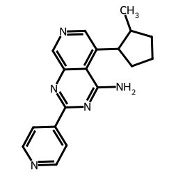 CC1CCCC1c1cncc2nc(-c3ccncc3)nc(N)c12